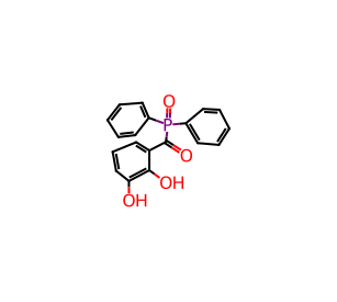 O=C(c1cccc(O)c1O)P(=O)(c1ccccc1)c1ccccc1